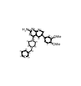 COc1ccc(-c2cnc3nc(N)nc(N4CCN(Cc5ccccc5)CC4)c3c2)cc1OC